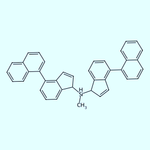 C[SiH](C1C=Cc2c(-c3cccc4ccccc34)cccc21)C1C=Cc2c(-c3cccc4ccccc34)cccc21